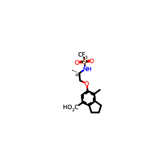 Cc1c(OC[C@H](C)NS(=O)(=O)C(F)(F)F)cc(C(=O)O)c2c1CCC2